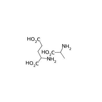 CC(N)C(=O)O.NC(CCC(=O)O)C(=O)O